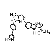 CC1CN=C(c2ccc3cc(C(=O)N(C)C)[nH]c3c2)N=C1Nc1ccc(-c2cn[nH]c2)cc1